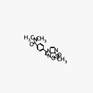 CN(C)C(=O)c1ccc(-c2cnc3c(S(C)(=O)=O)nccn23)cc1